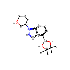 CC1(C)OB(c2cccc3c2cnn3C2CCCOC2)OC1(C)C